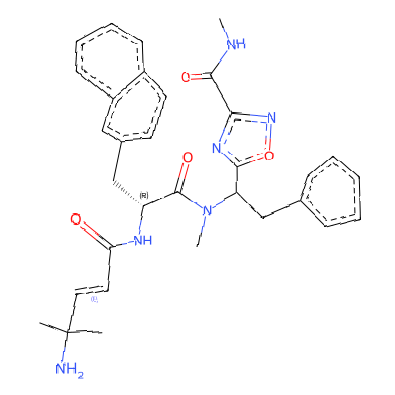 CNC(=O)c1noc(C(Cc2ccccc2)N(C)C(=O)[C@@H](Cc2ccc3ccccc3c2)NC(=O)/C=C/C(C)(C)N)n1